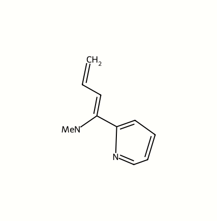 C=C/C=C(\NC)c1ccccn1